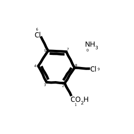 N.O=C(O)c1ccc(Cl)cc1Cl